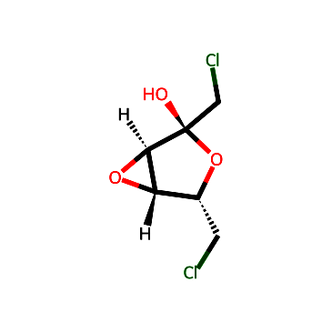 O[C@@]1(CCl)O[C@H](CCl)[C@@H]2O[C@H]21